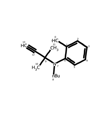 [CH]c1ccccc1N(CCCC)C(C)(C)C#C